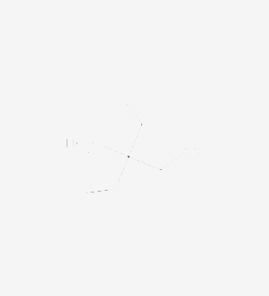 O=C(O)CC(CC(=O)O)(OC(=O)O)C(=O)O